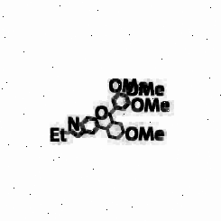 CCc1cc2cc(C3CCC(OC)CC3C(=O)c3cc(OC)c(OC)c(OC)c3)ccc2n1C